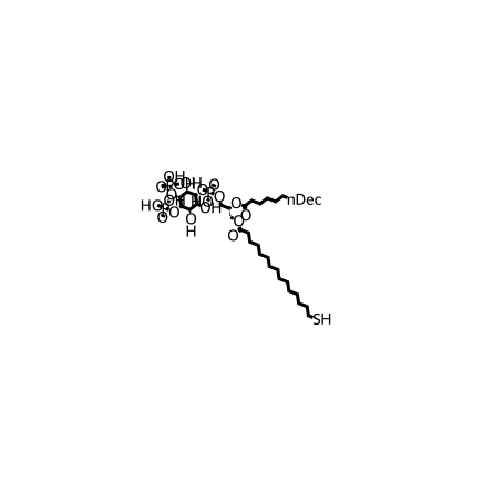 CCCCCCCCCCCCCCCC(=O)O[C@H](COC(=O)CCCCCCCCCCCCCCS)COP(=O)(O)OC1C(O)[C@H](O)C(OP(=O)(O)O)[C@H](OP(=O)(O)O)[C@@H]1O